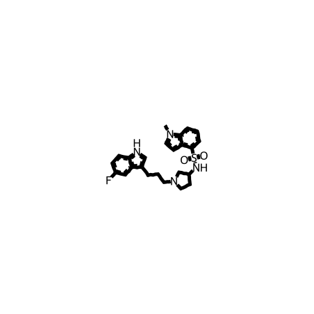 Cn1ccc2c(S(=O)(=O)NC3CCN(CCCc4c[nH]c5ccc(F)cc45)C3)cccc21